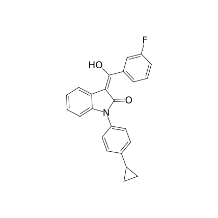 O=C1C(=C(O)c2cccc(F)c2)c2ccccc2N1c1ccc(C2CC2)cc1